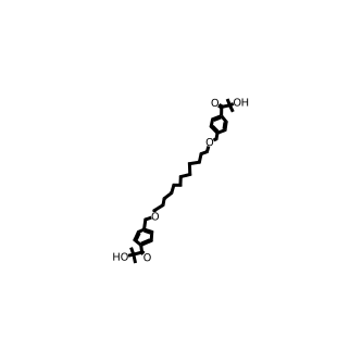 CC(C)(O)C(=O)c1ccc(COCCCCCCCCCCCCOCc2ccc(C(=O)C(C)(C)O)cc2)cc1